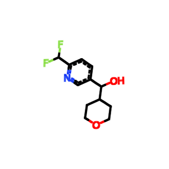 OC(c1ccc(C(F)F)nc1)C1CCOCC1